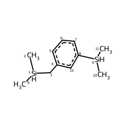 C[SiH](C)Cc1cccc([SiH](C)C)c1